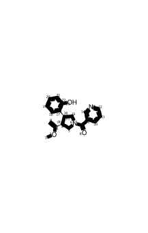 C=C(OC)[C@H]1CN(C(=O)c2cccnc2)C[C@H]1c1ccccc1O